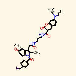 CCN(CC)c1ccc2cc(C(=O)NCCCNC(=O)Cc3c(C)n(C(=O)c4ccc(CI)cc4)c4ccc(OC)cc34)c(=O)oc2c1